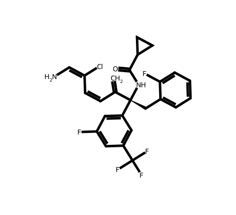 C=C(/C=C\C(Cl)=C/N)[C@](Cc1ccccc1F)(NC(=O)C1CC1)c1cc(F)cc(C(F)(F)F)c1